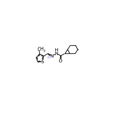 Cc1ccsc1/C=N/NC(=O)C1C2CCCCC21